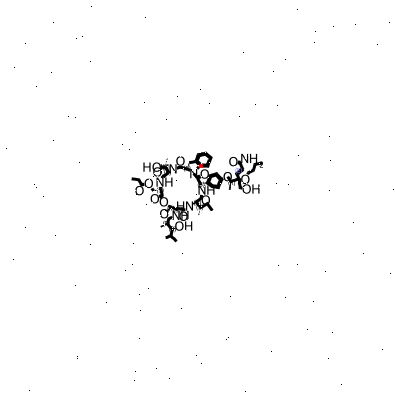 CCCCOC(/C=C/C(N)=O)(CO)[C@@H](C)Oc1ccc([C@@H]2NC(=O)[C@@H]([C@@H](C)CC)NC(=O)[C@@H](NC(=O)[C@H](C)[C@H](O)C(C)C)[C@@H](C)OC(=O)[C@H](COC(=O)CC)NC(=O)[C@@H]([C@@H](C)O)NC(=O)[C@H](Cc3ccccc3)N(C)C2=O)cc1